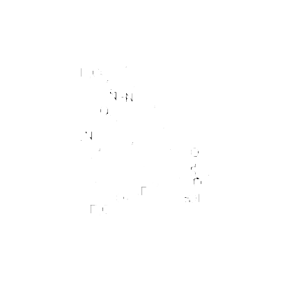 Cc1nc(-c2ccc(OC(F)(F)F)cc2)c(-c2cc(-c3cc(F)c(CO)c(S(C)(=O)=O)c3)ccc2-n2nc(C(F)(F)F)cc2C)o1